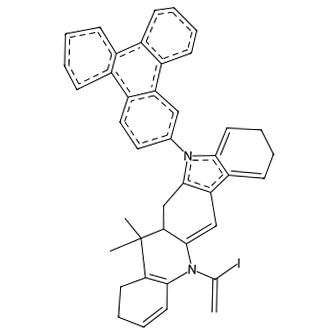 C=C(I)N1C2=Cc3c(n(-c4ccc5c6ccccc6c6ccccc6c5c4)c4c3=CCCC=4)CC2C(C)(C)C2=C1C=CCC2